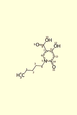 CCCCCn1cc(C(=O)O)c(O)cc1=O